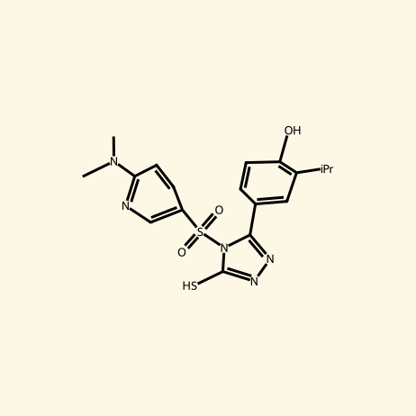 CC(C)c1cc(-c2nnc(S)n2S(=O)(=O)c2ccc(N(C)C)nc2)ccc1O